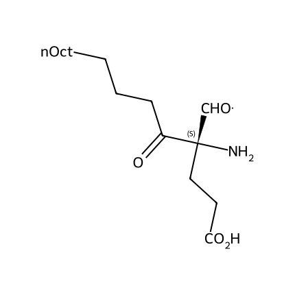 CCCCCCCCCCCC(=O)[C@@](N)([C]=O)CCC(=O)O